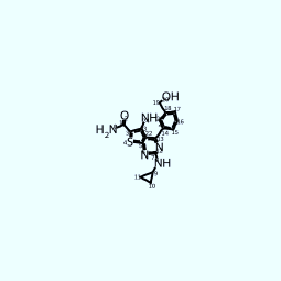 NC(=O)c1sc2nc(NC3CC3)nc(-c3cccc(CO)c3)c2c1N